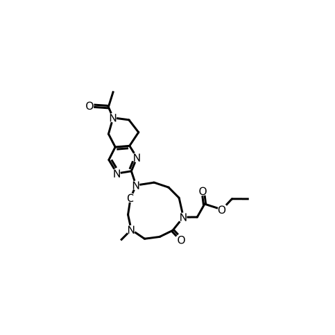 CCOC(=O)CN1CCCN(c2ncc3c(n2)CCN(C(C)=O)C3)CCN(C)CCC1=O